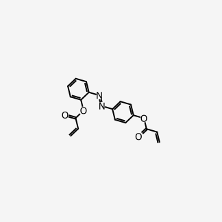 C=CC(=O)Oc1ccc(N=Nc2ccccc2OC(=O)C=C)cc1